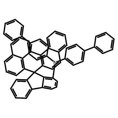 c1ccc(-c2ccc(N(c3ccc(-c4ccccc4)cc3)c3cccc4c3C3(c5ccccc5-4)c4ccc5ccccc5c4-c4cccc5cccc3c45)cc2)cc1